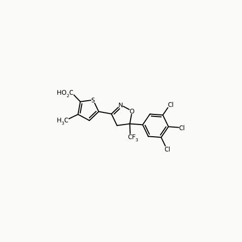 Cc1cc(C2=NOC(c3cc(Cl)c(Cl)c(Cl)c3)(C(F)(F)F)C2)sc1C(=O)O